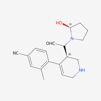 Cc1cc(C#N)ccc1C1=CCN[CH][C@@H]1C(C=O)N1CCC[C@@H]1O